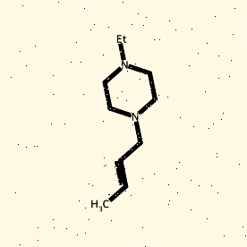 C/C=C/CN1CCN(CC)CC1